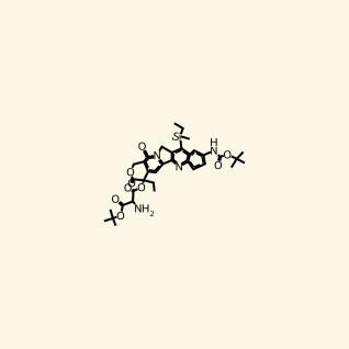 CCC1(OC(=O)C(N)C(=O)OC(C)(C)C)C(=O)OCc2c1cc1n(c2=O)Cc2c-1nc1ccc(NC(=O)OC(C)(C)C)cc1c2[Si](C)(C)CC